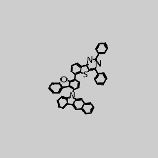 c1ccc(-c2nc(-c3ccccc3)c3sc4c(-c5ccc(-n6c7ccccc7c7cc8ccccc8cc76)c6c5oc5ccccc56)cccc4c3n2)cc1